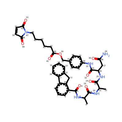 CC(NC(=O)c1cccc2c1Cc1ccccc1-2)C(=O)NC(C)C(=O)NC(CC(N)=O)C(=O)Nc1ccc(COC(=O)CCCCCN2C(=O)C=CC2=O)cc1